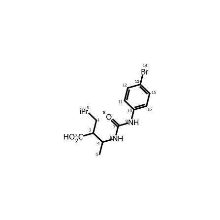 CC(C)CC(C(=O)O)C(C)NC(=O)Nc1ccc(Br)cc1